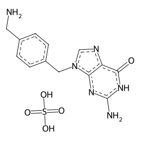 NCc1ccc(Cn2cnc3c(=O)[nH]c(N)nc32)cc1.O=S(=O)(O)O